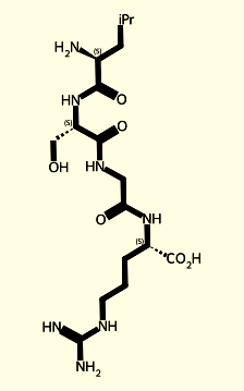 CC(C)C[C@H](N)C(=O)N[C@@H](CO)C(=O)NCC(=O)N[C@@H](CCCNC(=N)N)C(=O)O